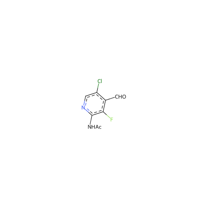 CC(=O)Nc1ncc(Cl)c(C=O)c1F